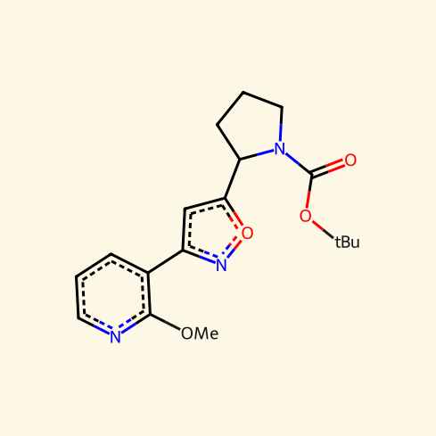 COc1ncccc1-c1cc(C2CCCN2C(=O)OC(C)(C)C)on1